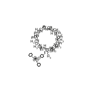 CC[C@@H]1NC(=O)[C@H]([C@H](O)[C@H](C)C/C=C/c2ccc(OCP(=O)(OCc3ccccc3)OCc3ccccc3)cc2)N(C)C(=O)[C@H](C(C)C)N(C)C(=O)[C@H](CC(C)C)N(C)C(=O)[C@H](CC(C)C)N(C)C(=O)[C@@H](C)NC(=O)[C@H](C)NC(=O)[C@H](CC(C)C)N(C)C(=O)[C@H](C(C)C)NC(=O)[C@H](CC(C)C)N(C)C(=O)CN(C)C1=O